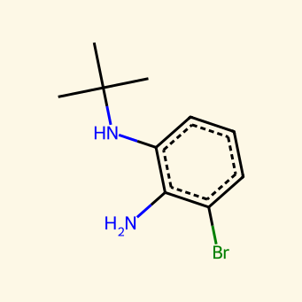 CC(C)(C)Nc1cccc(Br)c1N